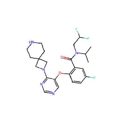 CC(C)N(CC(F)F)C(=O)c1cc(F)ccc1Oc1cncnc1N1CC2(CCNCC2)C1